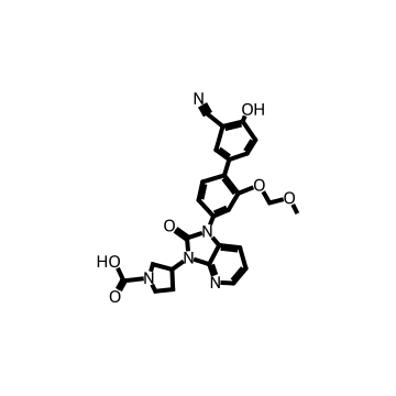 COCOc1cc(-n2c(=O)n(C3CCN(C(=O)O)C3)c3ncccc32)ccc1-c1ccc(O)c(C#N)c1